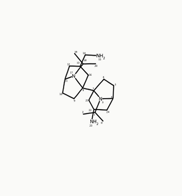 CC(C)N1C2CCC1(C13CCC(CC(CN)C1)N3C(C)C)CC(N)C2